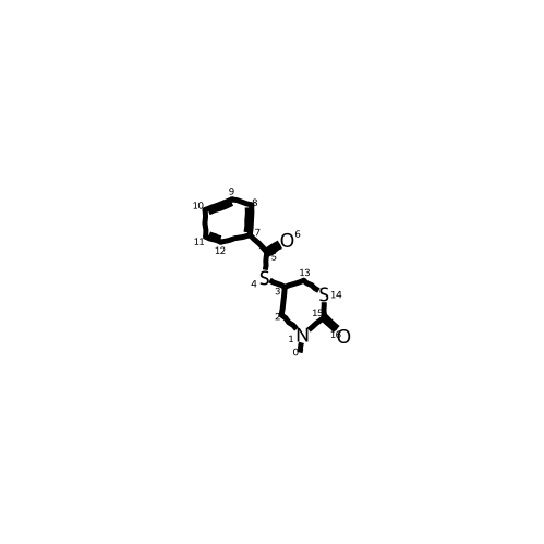 CN1CC(SC(=O)c2ccccc2)CSC1=O